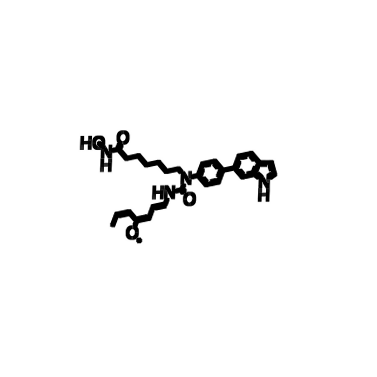 C\C=C/C(=C\C=C\NC(=O)N(CCCCCCC(=O)NO)c1ccc(-c2ccc3cc[nH]c3c2)cc1)OC